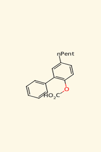 CCCCCc1ccc(OC(=O)O)c(-c2ccccc2)c1